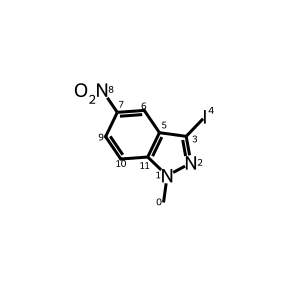 Cn1nc(I)c2cc([N+](=O)[O-])ccc21